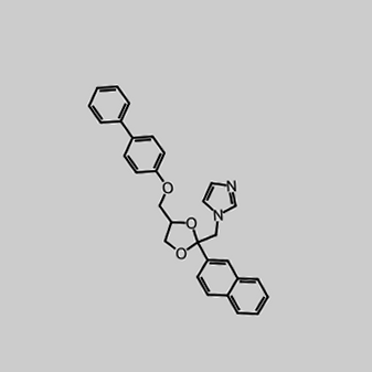 c1ccc(-c2ccc(OCC3COC(Cn4ccnc4)(c4ccc5ccccc5c4)O3)cc2)cc1